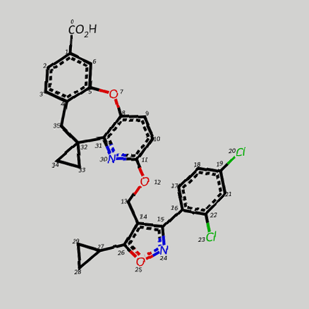 O=C(O)c1ccc2c(c1)Oc1ccc(OCc3c(-c4ccc(Cl)cc4Cl)noc3C3CC3)nc1C1(CC1)C2